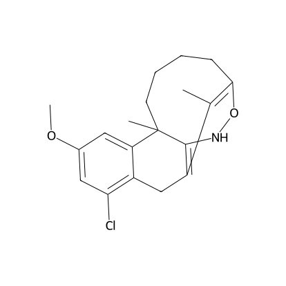 COc1cc(Cl)c2c(c1)C1(C)CCCCC3=C(C)C(=C1NO3)C2